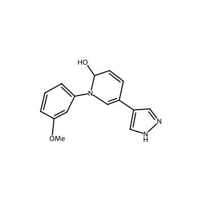 COc1cccc(N2C=C(c3cn[nH]c3)C=CC2O)c1